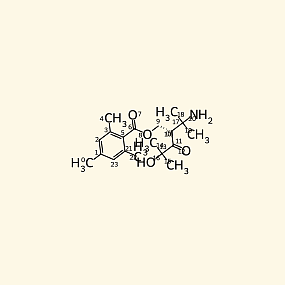 Cc1cc(C)c(C(=O)OC[C@@H](C(=O)C(C)(C)O)C(C)(C)N)c(C)c1